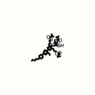 C=C(C)C(=O)OCCCc1cc(-c2ccc(C3CCC(CCCCC)CC3)cc2CC)cc(CCCOC(=O)C(=C)C)c1OCC(CS)(CS)COC(=O)C(=C)C